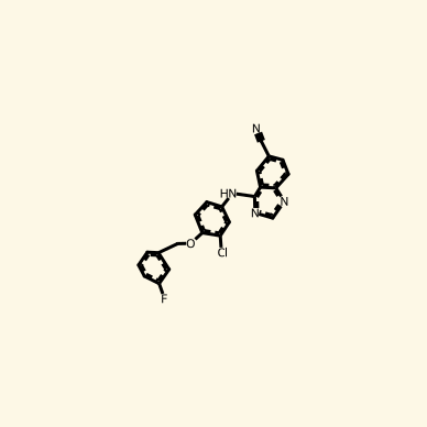 N#Cc1ccc2ncnc(Nc3ccc(OCc4cccc(F)c4)c(Cl)c3)c2c1